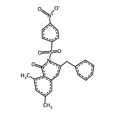 Cc1cc(C)c2c(=O)n(S(=O)(=O)c3ccc([N+](=O)[O-])cc3)c(Cc3ccccc3)cc2c1